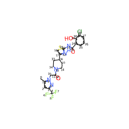 Cc1cc(C(F)(F)F)nn1CC(=O)N1CCC(c2csc(NC(=O)c3cccc(Cl)c3O)n2)CC1